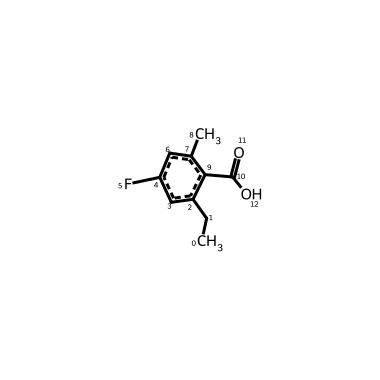 CCc1cc(F)cc(C)c1C(=O)O